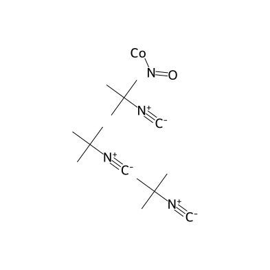 O=[N][Co].[C-]#[N+]C(C)(C)C.[C-]#[N+]C(C)(C)C.[C-]#[N+]C(C)(C)C